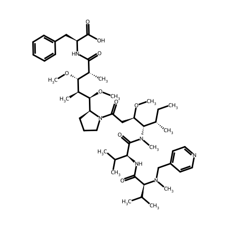 CC[C@H](C)[C@@H]([C@@H](CC(=O)N1CCC[C@H]1[C@H](OC)[C@@H](C)[C@H](OC)[C@@H](C)C(=O)N[C@@H](Cc1ccccc1)C(=O)O)OC)N(C)C(=O)[C@@H](NC(=O)[C@H](C(C)C)N(C)Cc1ccncc1)C(C)C